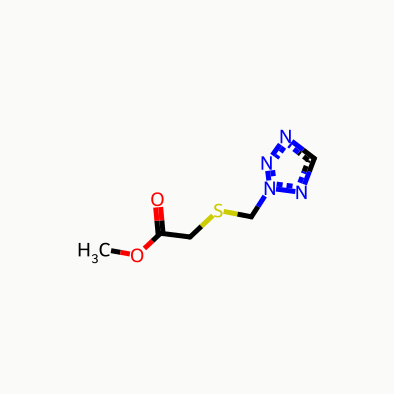 COC(=O)CSCn1ncnn1